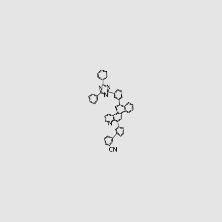 N#Cc1cccc(-c2cccc(-c3cc4c5ccccc5c(-c5cccc(-c6nc(-c7ccccc7)nc(-c7ccccc7)n6)c5)cc4c4cccnc34)c2)c1